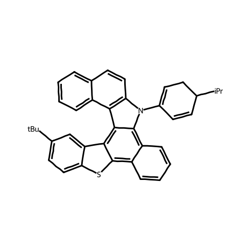 CC(C)C1C=CC(n2c3ccc4ccccc4c3c3c4c5cc(C(C)(C)C)ccc5sc4c4ccccc4c32)=CC1